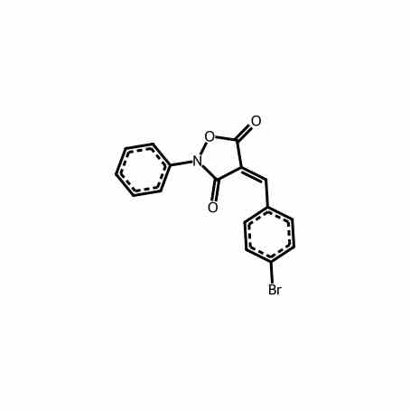 O=C1ON(c2ccccc2)C(=O)C1=Cc1ccc(Br)cc1